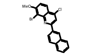 COc1ccc2c(Cl)cc(-c3ccc4ccccc4c3)nc2c1Br